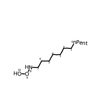 CCCCCCCCCCCCNOO